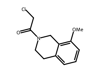 COc1cccc2c1CN(C(=O)CCl)CC2